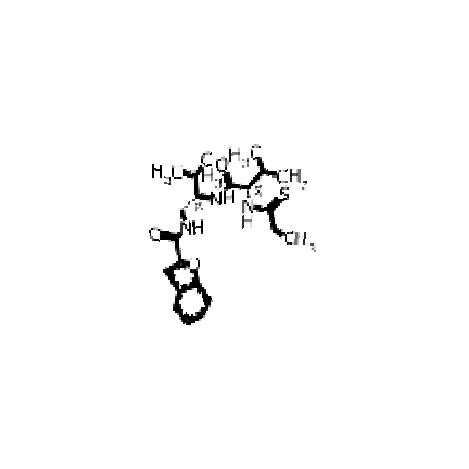 CCC(=S)N[C@H](C(=O)N[C@H](CNC(=O)c1cc2ccccc2o1)C(C)C)C(C)C